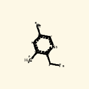 Cc1cc(C(C)C)cnc1CF